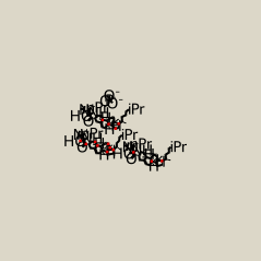 CCCC(C(N)(O)C(=O)[C@H]1CC[C@@]2(C)C(=CC[C@H]3[C@@H]4CC[C@H]([C@H](C)CCCC(C)C)[C@@]4(C)CC[C@@H]32)C1)[N+](C)(C)C.CCCC(C(N)(O)C(=O)[C@H]1CC[C@@]2(C)C(=CC[C@H]3[C@@H]4CC[C@H]([C@H](C)CCCC(C)C)[C@@]4(C)CC[C@@H]32)C1)[N+](C)(C)C.CCCC(C(N)(O)C(=O)[C@H]1CC[C@@]2(C)C(=CC[C@H]3[C@@H]4CC[C@H]([C@H](C)CCCC(C)C)[C@@]4(C)CC[C@@H]32)C1)[N+](C)(C)C.[O-]P([O-])[O-]